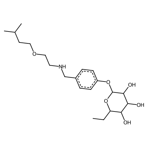 CCC1OC(Oc2ccc(CNCCOCCC(C)C)cc2)C(O)C(O)C1O